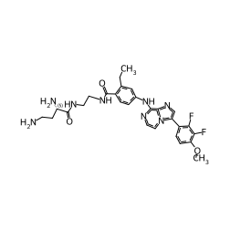 CCc1cc(Nc2nccn3c(-c4ccc(OC)c(F)c4F)cnc23)ccc1C(=O)NCCNC(=O)[C@@H](N)CCN